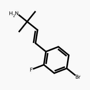 CC(C)(N)C=Cc1ccc(Br)cc1F